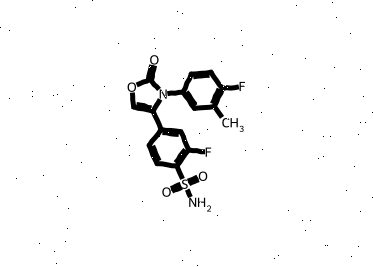 Cc1cc(-n2c(-c3ccc(S(N)(=O)=O)c(F)c3)coc2=O)ccc1F